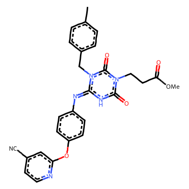 COC(=O)CCn1c(=O)[nH]/c(=N\c2ccc(Oc3cc(C#N)ccn3)cc2)n(Cc2ccc(C)cc2)c1=O